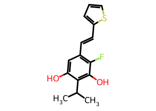 CC(C)c1c(O)cc(C=Cc2cccs2)c(F)c1O